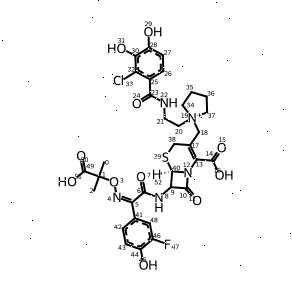 CC(C)(O/N=C(\C(=O)NC1C(=O)N2C(C(=O)O)=C(C[N+]3(CCNC(=O)c4ccc(O)c(O)c4Cl)CCCC3)CS[C@H]12)c1ccc(O)c(F)c1)C(=O)O